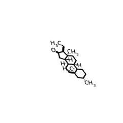 C/C=C1\C(=O)C[C@H]2[C@@H]3CC=C4C[C@@H](C)CC[C@]4(C)[C@H]3CC[C@]12C